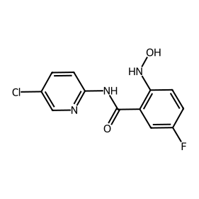 O=C(Nc1ccc(Cl)cn1)c1cc(F)ccc1NO